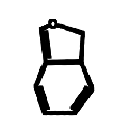 C1=CC2=COCC2C=C1